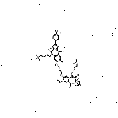 COc1cc2c(cc1OCCCOc1cc3c(cc1C)C(=O)N1C=C(c4ccc(N)cc4)C[C@H]1C(=O)N3COCC[Si](C)(C)C)N(COCC[Si](C)(C)C)C(=O)[C@@H]1CC(C)=CN1C2=O